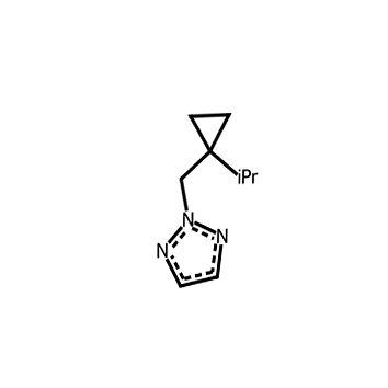 CC(C)C1(Cn2nccn2)CC1